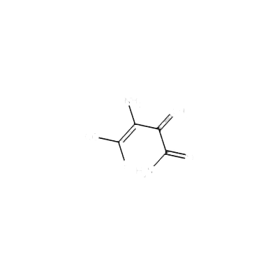 C=C(C(N)=O)C(N)=C(C)F